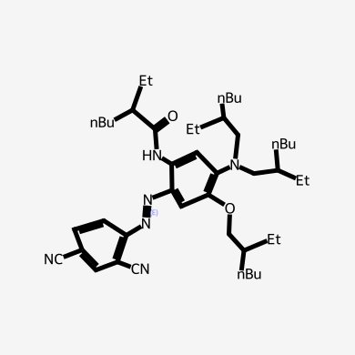 CCCCC(CC)COc1cc(/N=N/c2ccc(C#N)cc2C#N)c(NC(=O)C(CC)CCCC)cc1N(CC(CC)CCCC)CC(CC)CCCC